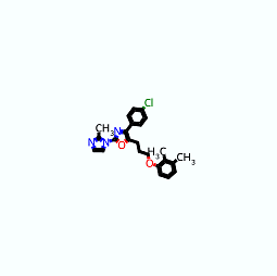 Cc1cccc(OCCCc2oc(-n3ccnc3C)nc2-c2ccc(Cl)cc2)c1C